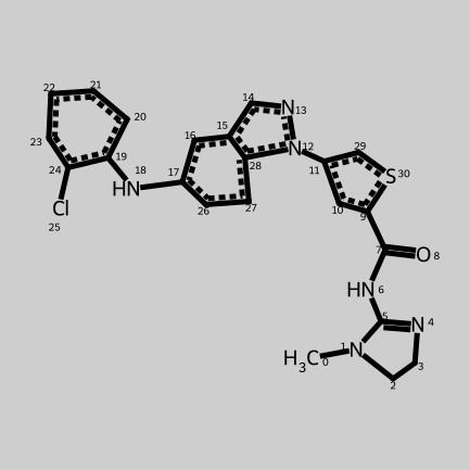 CN1CCN=C1NC(=O)c1cc(-n2ncc3cc(Nc4ccccc4Cl)ccc32)cs1